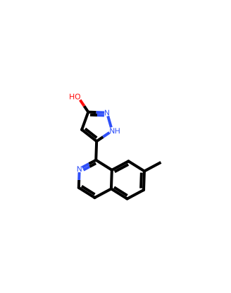 Cc1ccc2ccnc(-c3cc(O)n[nH]3)c2c1